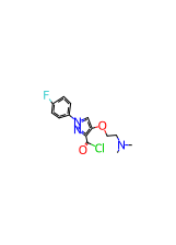 CN(C)CCOc1cn(-c2ccc(F)cc2)nc1C(=O)Cl